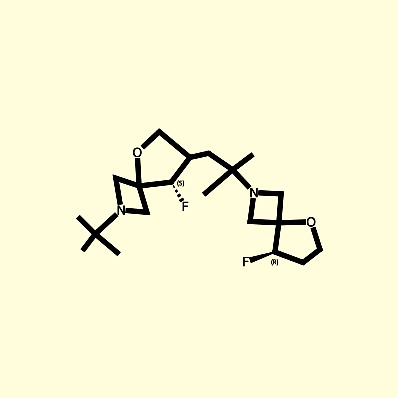 CC(C)(C)N1CC2(C1)OCC(CC(C)(C)N1CC3(C1)OCC[C@H]3F)[C@@H]2F